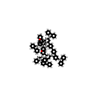 c1ccc(-n2c3ccccc3n3c4ccccc4nc23)c(-c2nc(-n3c4ccccc4c4ccccc43)cc(-n3c4ccc(-n5c6ccccc6c6ccccc65)cc4c4ccc(-c5ccc(-c6cc(-n7c8ccccc8c8ccccc87)nc(-n7c8ccccc8c8cc(-n9c%10ccccc%10c%10ccccc%109)ccc87)n6)c(-n6c7ccccc7n7c8ccccc8nc67)c5)cc43)n2)c1